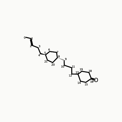 CC=CCC[C@H]1CC[C@H](CCCCC2CCC(=O)CC2)CC1